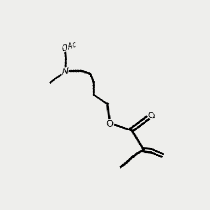 C=C(C)C(=O)OCCCN(C)OC(C)=O